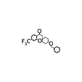 O=C1CC2(CCC(OCc3ccccc3)CC2)Oc2cc(C(F)(F)F)ccc21